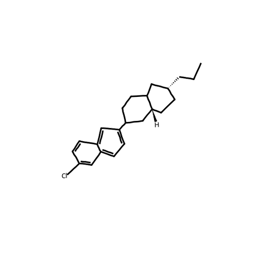 CCC[C@@H]1CC[C@@H]2CC(c3ccc4cc(Cl)ccc4c3)CCC2C1